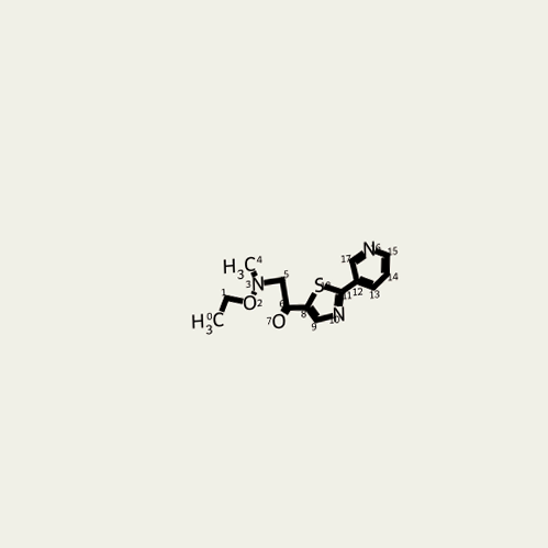 CCON(C)CC(=O)c1cnc(-c2cccnc2)s1